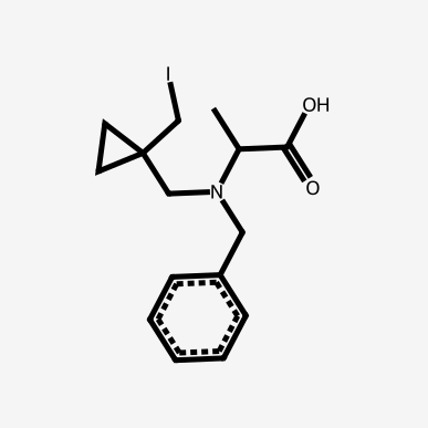 CC(C(=O)O)N(Cc1ccccc1)CC1(CI)CC1